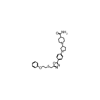 NC(=O)C1CCN(C2CCN(c3ccc(-c4nnc(CSCCOc5ccccc5)o4)cc3)C2)CC1